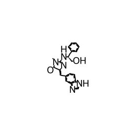 CN1C(=O)/C(=C/c2ccc3[nH]cnc3c2)N=C1N[C@H](CO)c1ccccc1